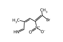 C/C(C=N)=C/C(=C(\C)Br)[N+](=O)[O-]